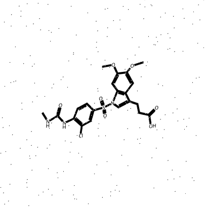 CNC(=O)Nc1ccc(S(=O)(=O)n2cc(CCC(=O)O)c3cc(OC)c(OC)cc32)cc1Cl